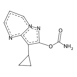 NC(=O)Oc1nn2cccnc2c1C1CC1